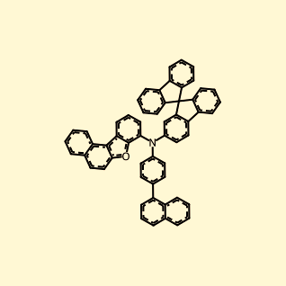 c1ccc2c(c1)-c1ccccc1C21c2ccccc2-c2ccc(N(c3ccc(-c4cccc5ccccc45)cc3)c3cccc4c3oc3ccc5ccccc5c34)cc21